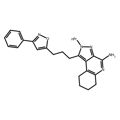 CCCn1nc2c(N)nc3c(c2c1CCCc1cc(-c2ccccc2)no1)CCCC3